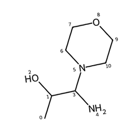 CC(O)C(N)N1CCOCC1